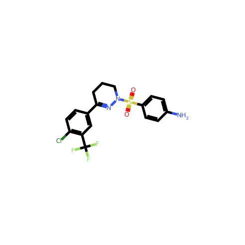 Nc1ccc(S(=O)(=O)N2CCCC(c3ccc(Cl)c(C(F)(F)F)c3)=N2)cc1